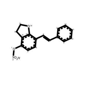 O=S(=O)(O)Oc1ccc(C=Cc2ccccc2)c2c1CCO2